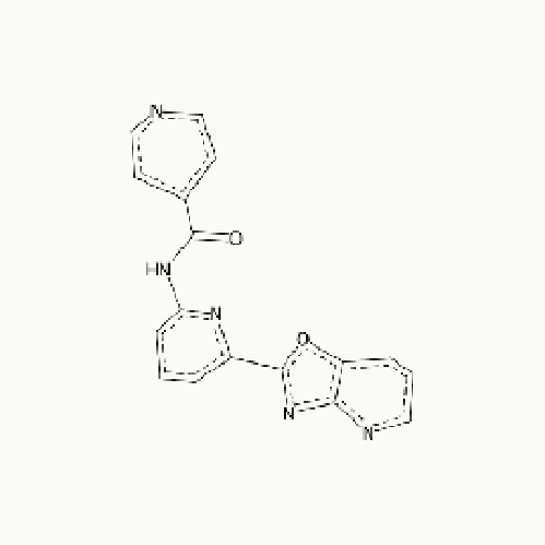 O=C(Nc1cccc(-c2nc3ncccc3o2)n1)c1ccncc1